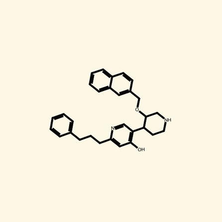 Oc1cc(CCCc2ccccc2)ncc1C1CCNCC1OCc1ccc2ccccc2c1